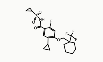 O=C(NS(=O)(=O)C1CC1)c1cc(C2CC2)c(OCC2(C(F)(F)F)CCCCC2)cc1F